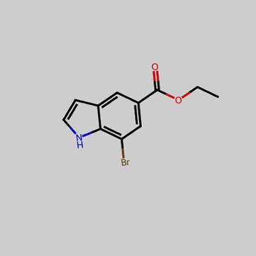 CCOC(=O)c1cc(Br)c2[nH]ccc2c1